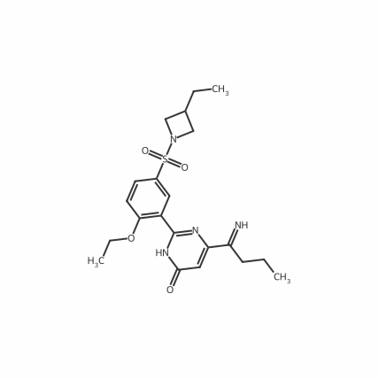 CCCC(=N)c1cc(=O)[nH]c(-c2cc(S(=O)(=O)N3CC(CC)C3)ccc2OCC)n1